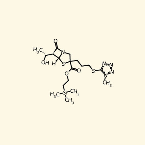 C[C@@H](O)[C@H]1C(=O)N2CC(CCCSc3nnnn3C)(C(=O)OCC[Si](C)(C)C)S[C@H]12